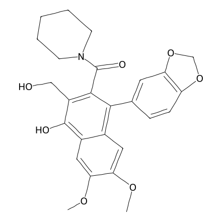 COc1cc2c(O)c(CO)c(C(=O)N3CCCCC3)c(-c3ccc4c(c3)OCO4)c2cc1OC